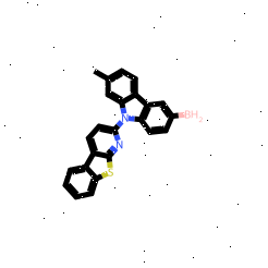 Bc1ccc2c(c1)c1ccc(C)cc1n2-c1ccc2c(n1)sc1ccccc12